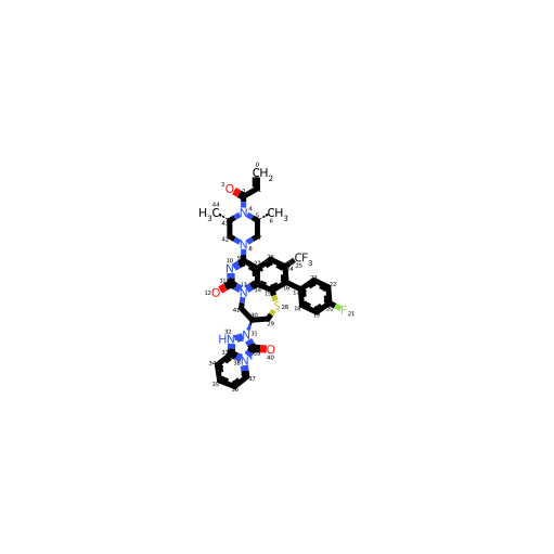 C=CC(=O)N1[C@H](C)CN(c2nc(=O)n3c4c(c(-c5ccc(F)cc5)c(C(F)(F)F)cc24)SC[C@@H](n2[nH]c4cccc[n+]4c2=O)C3)C[C@@H]1C